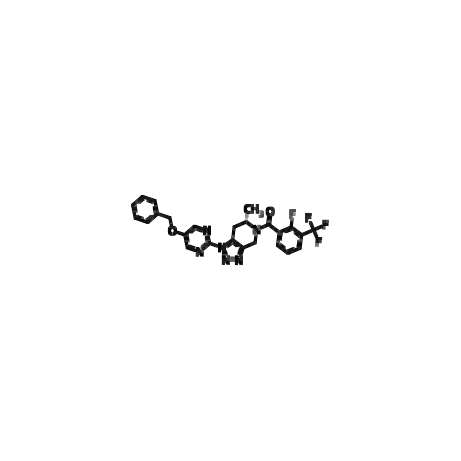 C[C@H]1Cc2c(nnn2-c2ncc(OCc3ccccc3)cn2)CN1C(=O)c1cccc(C(F)(F)F)c1F